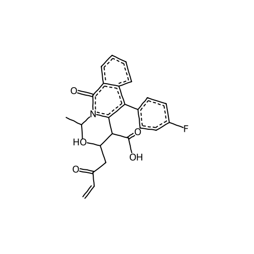 C=CC(=O)CC(O)C(C(=O)O)c1c(-c2ccc(F)cc2)c2ccccc2c(=O)n1C(C)C